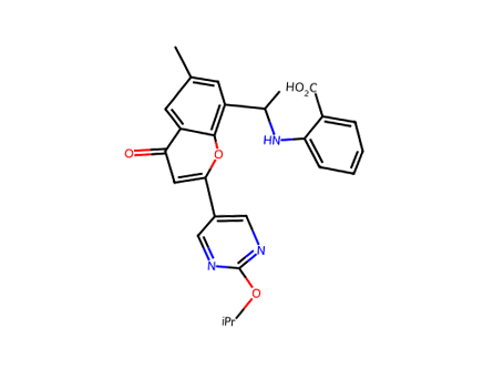 Cc1cc(C(C)Nc2ccccc2C(=O)O)c2oc(-c3cnc(OC(C)C)nc3)cc(=O)c2c1